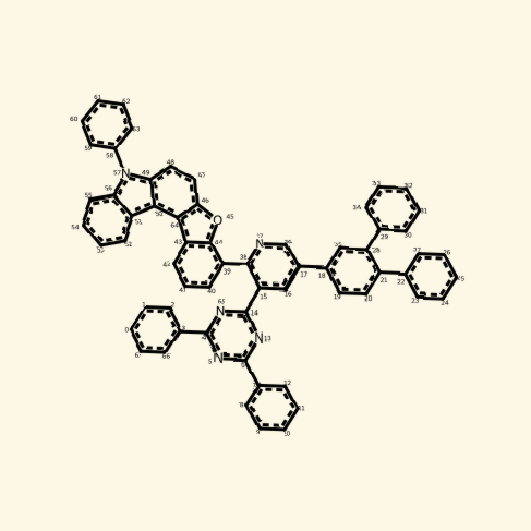 c1ccc(-c2nc(-c3ccccc3)nc(-c3cc(-c4ccc(-c5ccccc5)c(-c5ccccc5)c4)cnc3-c3cccc4c3oc3ccc5c(c6ccccc6n5-c5ccccc5)c34)n2)cc1